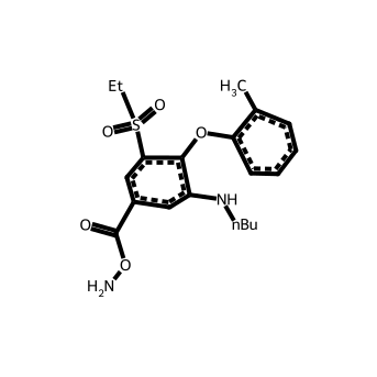 CCCCNc1cc(C(=O)ON)cc(S(=O)(=O)CC)c1Oc1ccccc1C